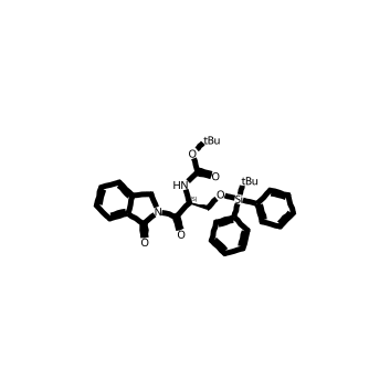 CC(C)(C)OC(=O)N[C@@H](CO[Si](c1ccccc1)(c1ccccc1)C(C)(C)C)C(=O)N1Cc2ccccc2C1=O